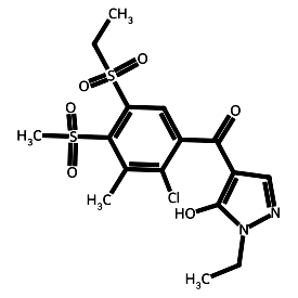 CCn1ncc(C(=O)c2cc(S(=O)(=O)CC)c(S(C)(=O)=O)c(C)c2Cl)c1O